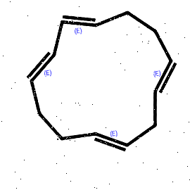 [CH]1/C=C/C/C=C/CC/C=C/C=C/C1